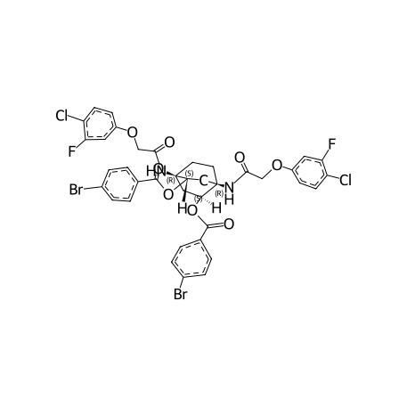 O=C(COc1ccc(Cl)c(F)c1)N[C@@]12CC[C@@](NC(=O)COc3ccc(Cl)c(F)c3)(C[C@@H]1OC(=O)c1ccc(Br)cc1)[C@@H](OC(=O)c1ccc(Br)cc1)C2